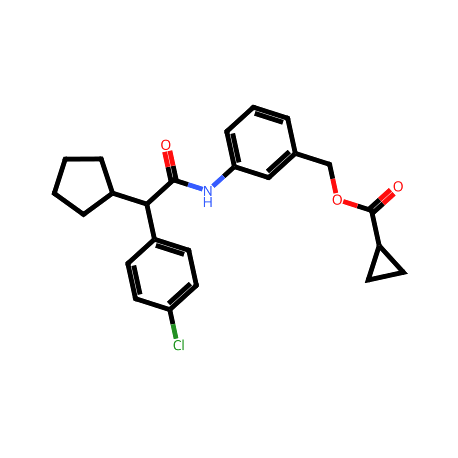 O=C(OCc1cccc(NC(=O)C(c2ccc(Cl)cc2)C2CCCC2)c1)C1CC1